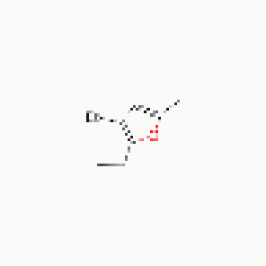 C=Cc1oc(C)cc1CC